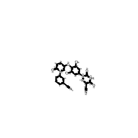 N#Cc1cccc(-n2cc(Oc3c(Cl)cc(-n4nc(C#N)c(=O)[nH]c4=O)cc3Cl)ccc2=O)c1